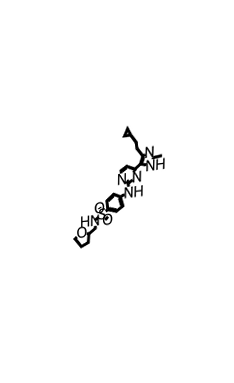 Cc1nc(CCC2CC2)c(-c2ccnc(Nc3ccc(S(=O)(=O)NCC4CCCO4)cc3)n2)[nH]1